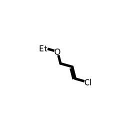 CCOCC=CCl